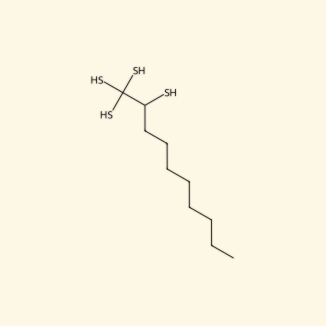 CCCCCCCCC(S)C(S)(S)S